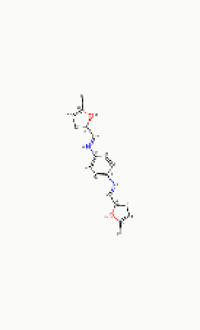 Cc1ccc(C=Nc2ccc(N=Cc3ccc(C)o3)cc2)o1